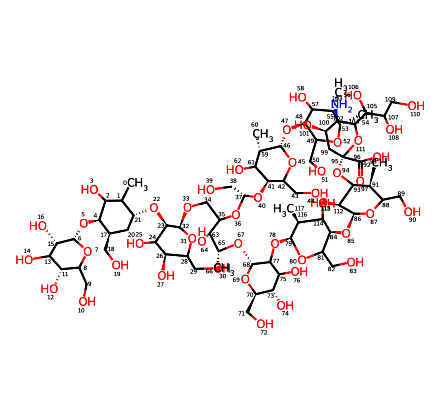 CC1C(O)[C@H](O[C@@H]2OC(CO)[C@H](O)C(O)[C@@H]2O)[C@H](CO)C[C@H]1O[C@@H]1C(O)[C@H](O)C(CO)O[C@@H]1OCC(O[C@H](CO)O[C@@H]1C(CO)O[C@@H](O[C@@H]2C(CO)O[C@@H](C)[C@@H](C)C2O)[C@@H](C)C1O)[C@@H](O)[C@@H](C)O[C@H]1O[C@H](CO)[C@@H](O)C(O)C1O[C@@H]1OC(CO)[C@H](O[C@@H]2OC(CO)[C@H](C)C(O[C@]3(C(=O)O)C[C@@H](O)[C@@H](N)C(C(O)C(O)CO)O3)[C@@H]2O)C(O)[C@@H]1C